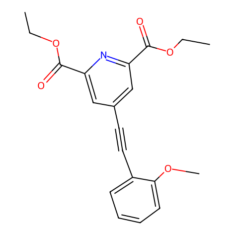 CCOC(=O)c1cc(C#Cc2ccccc2OC)cc(C(=O)OCC)n1